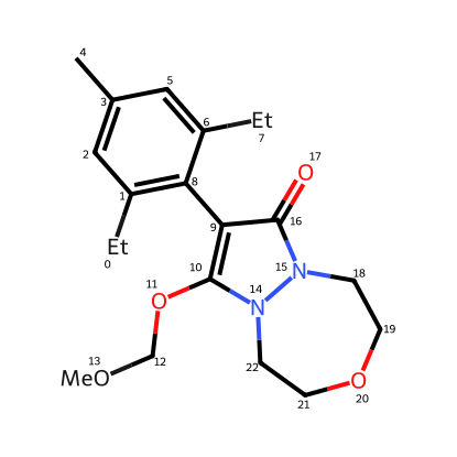 CCc1cc(C)cc(CC)c1-c1c(OCOC)n2n(c1=O)CCOCC2